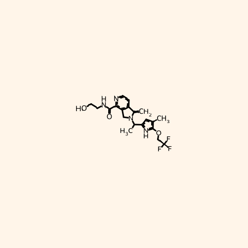 C=C1c2ccnc(C(=O)NCCO)c2CN1C(C)c1cc(C)c(OCC(F)(F)F)[nH]1